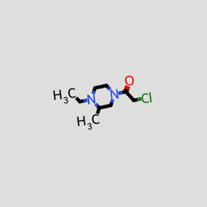 CCN1CCN(C(=O)CCl)CC1C